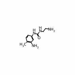 Cc1ccc(NC(=O)NCCN)cc1N